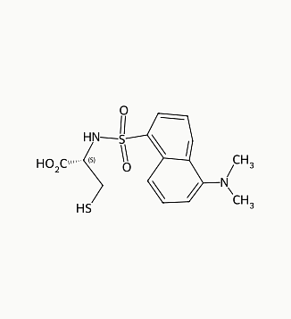 CN(C)c1cccc2c(S(=O)(=O)N[C@H](CS)C(=O)O)cccc12